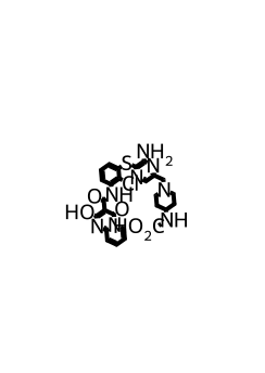 Nc1nc(CN2CCC(NC(=O)O)CC2)cnc1Sc1cccc(NC(=O)c2c(O)nc3ccccn3c2=O)c1Cl